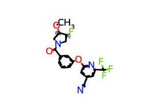 CO[C@@H]1CN(C(=O)c2cccc(Oc3cc(C#N)cc(C(F)(F)F)n3)c2)C[C@H]1F